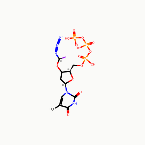 Cc1cn([C@H]2CC(O[C@H](I)N=[N+]=[N-])[C@@H](COP(=O)(O)OP(=O)(O)OP(=O)(O)O)O2)c(=O)[nH]c1=O